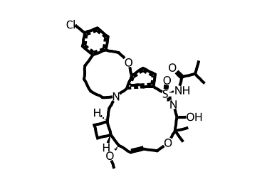 CO[C@H]1/C=C/COC(C)(C)C(O)N=[S@@](=O)(NC(=O)C(C)C)c2ccc3c(c2)N(CCCCc2cc(Cl)ccc2CO3)C[C@@H]2CC[C@H]21